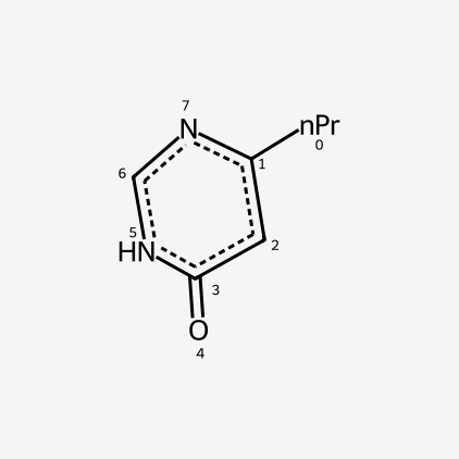 CCCc1cc(=O)[nH]cn1